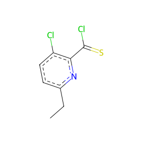 CCc1ccc(Cl)c(C(=S)Cl)n1